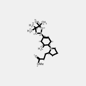 COC(=O)CCC1CCCN1C1CC=C(B2OC(C)(C)C(C)(C)O2)CC1C